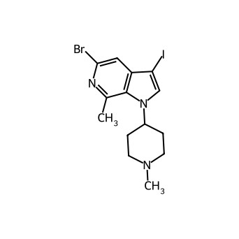 Cc1nc(Br)cc2c(I)cn(C3CCN(C)CC3)c12